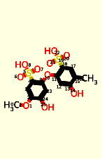 COc1cc(S(=O)(=O)O)c(Oc2cc(O)c(C)cc2S(=O)(=O)O)cc1O